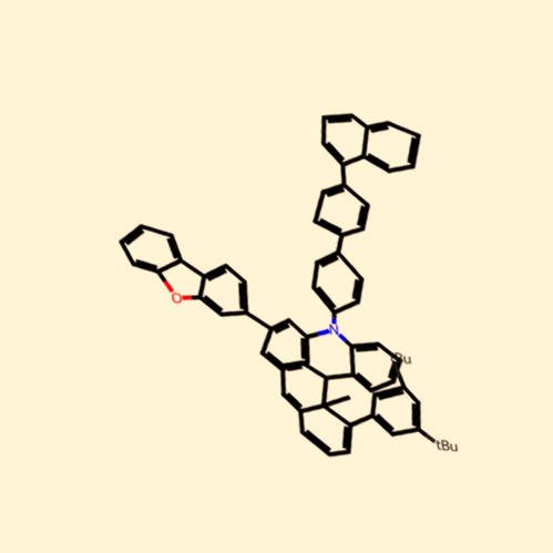 CC(C)(C)c1cc(C2=CC=CC3=CC=CC(c4ccccc4N(c4ccc(-c5ccc(-c6cccc7ccccc67)cc5)cc4)c4cccc(-c5ccc6c(c5)oc5ccccc56)c4)C32C)cc(C(C)(C)C)c1